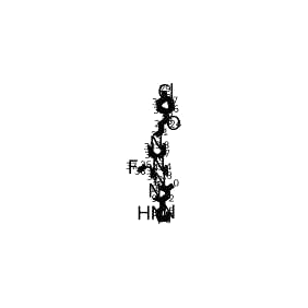 Cc1cc(-c2ncc[nH]2)cnc1N1CCN(C2CCN(CCCC(=O)c3ccc(Cl)cc3)CC2)[C@@H](CCF)C1